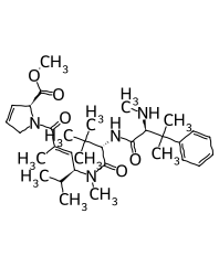 CN[C@H](C(=O)N[C@H](C(=O)N(C)[C@H](/C=C(\C)C(=O)N1CC=C[C@H]1C(=O)OC)C(C)C)C(C)(C)C)C(C)(C)c1ccccc1